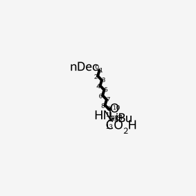 CCCCCCCCCCCCCCCCCCC(=O)N[C@H](C(=O)O)[C@@H](C)CC